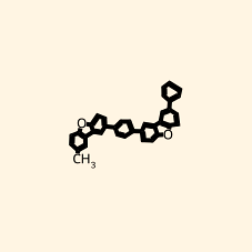 Cc1ccc2oc3ccc(-c4ccc(-c5ccc6oc7ccc(-c8ccccc8)cc7c6c5)cc4)cc3c2c1